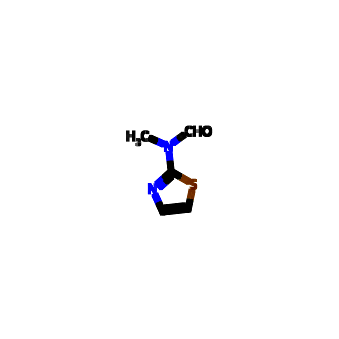 CN(C=O)c1nccs1